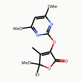 CCC1(OC)OC(=O)C(Oc2nc(OC)cc(OC)n2)=C1C